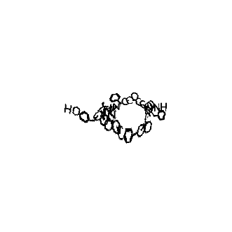 CNC(=O)C(Cc1ccccc1)N1CC(=O)Oc2ccc(cc2)COC(=O)N(C)C(=[N+](CC(C)C)C(=O)OCc2ccc(O)cc2)NC(c2ccccc2)CCC(=O)CCC1=O